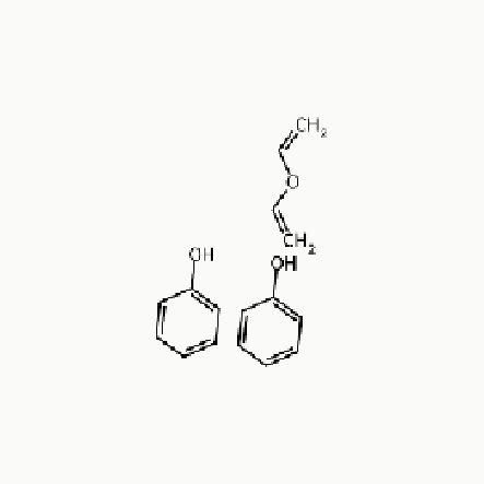 C=COC=C.Oc1ccccc1.Oc1ccccc1